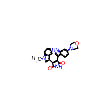 Cn1cc(C2=C(c3c[nH]c4cc(N5CCOCC5)ccc34)C(=O)NC2=O)c2ccccc21